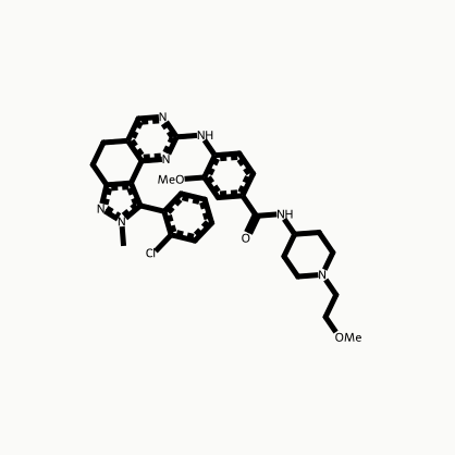 COCCN1CCC(NC(=O)c2ccc(Nc3ncc4c(n3)-c3c(nn(C)c3-c3ccccc3Cl)CC4)c(OC)c2)CC1